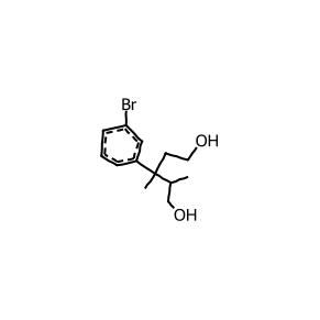 CC(CO)C(C)(CCO)c1cccc(Br)c1